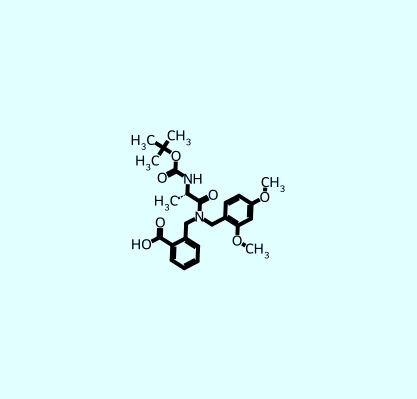 COc1ccc(CN(Cc2ccccc2C(=O)O)C(=O)[C@H](C)NC(=O)OC(C)(C)C)c(OC)c1